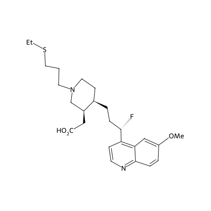 CCSCCCN1CC[C@@H](CC[C@H](F)c2ccnc3ccc(OC)cc23)[C@@H](CC(=O)O)C1